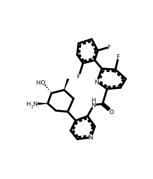 C[C@H]1CC(c2ccncc2NC(=O)c2ccc(F)c(-c3c(F)cccc3F)n2)C[C@@H](N)[C@@H]1O